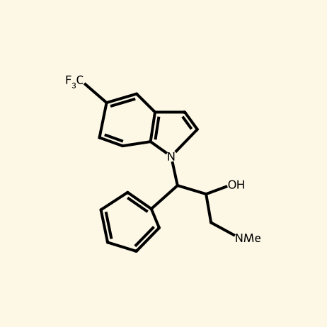 CNCC(O)C(c1ccccc1)n1ccc2cc(C(F)(F)F)ccc21